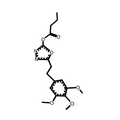 CCCC(=O)Oc1nnc(CCc2cc(OC)c(OC)c(OC)c2)o1